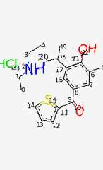 CCNCC.Cc1cc(C(=O)c2cccs2)cc(C(C)C)c1O.Cl